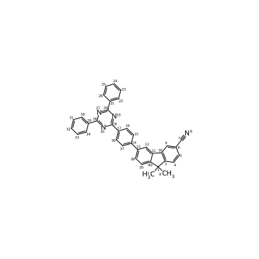 CC1(C)c2ccc(C#N)cc2-c2cc(-c3ccc(-c4nc(-c5ccccc5)nc(-c5ccccc5)n4)cc3)ccc21